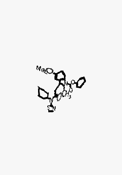 COc1ccc2c(c1)c(CC(=O)N(c1nccs1)C1CCCCC1)c(C)n2C(=O)Oc1ccccc1